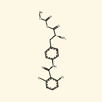 CC(C)(C)OC(=O)OC(=O)[C@@H](N)Cc1ccc(NC(=O)c2c(Cl)cccc2Cl)cc1